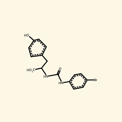 O=C(Nc1ccc(Br)cc1)NC(Cc1ccc(O)cc1)C(=O)O